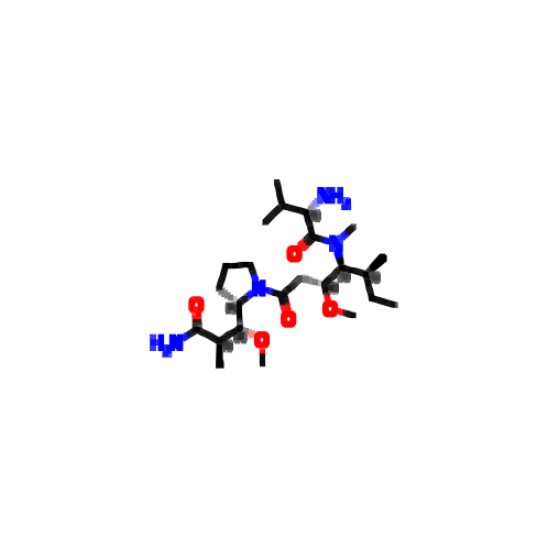 CC[C@H](C)[C@@H]([C@@H](CC(=O)N1CCC[C@H]1[C@H](OC)[C@@H](C)C(N)=O)OC)N(C)C(=O)[C@@H](N)C(C)C